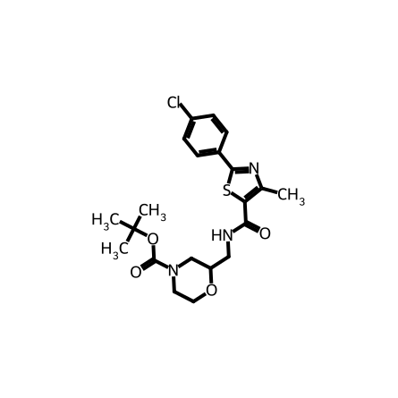 Cc1nc(-c2ccc(Cl)cc2)sc1C(=O)NCC1CN(C(=O)OC(C)(C)C)CCO1